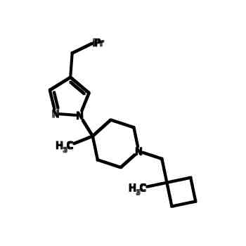 CC(C)Cc1cnn(C2(C)CCN(CC3(C)CCC3)CC2)c1